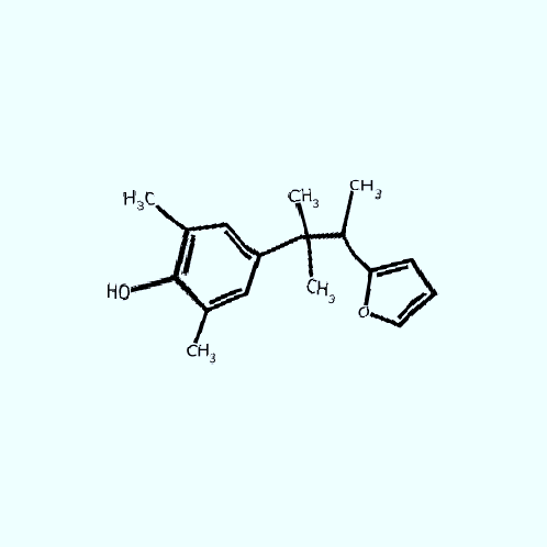 Cc1cc(C(C)(C)C(C)c2ccco2)cc(C)c1O